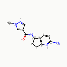 Cn1cc(C(=O)N[C@@H]2CCc3nc(N)ccc32)cn1